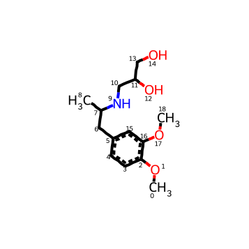 COc1ccc(CC(C)NCC(O)CO)cc1OC